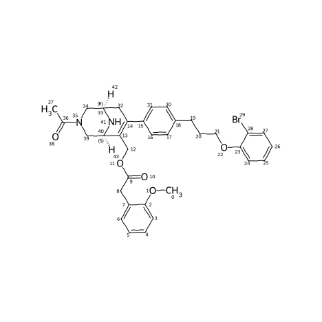 COc1ccccc1CC(=O)OCC1=C(c2ccc(CCCOc3ccccc3Br)cc2)C[C@@H]2CN(C(C)=O)C[C@H]1N2